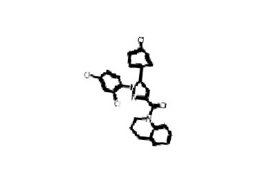 O=C(C1=NN(c2ccc(Cl)cc2Cl)C(c2ccc(Cl)cc2)C1)N1CCCc2ccccc21